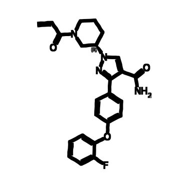 C=CC(=O)N1CCC[C@@H](n2cc(C(N)=O)c(-c3ccc(Oc4ccccc4F)cc3)n2)C1